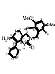 COc1cc(OC)c(F)c(CN2Cc3cnc(N)c(-c4cccnc4)c3NC2=O)c1F